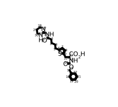 O=C(CCCCc1ccc(C[C@H](NC(=O)OCc2ccccc2)C(=O)O)s1)NC1=NCCCN1